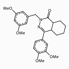 COc1cc(CN2N=C(c3ccc(OC)c(OC)c3)C3CCCCC3C2=O)cc(OC)c1